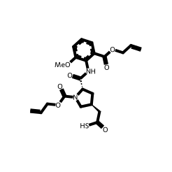 C=CCOC(=O)c1cccc(OC)c1NC(=O)[C@@H]1C[C@@H](CC(=O)S)CN1C(=O)OCC=C